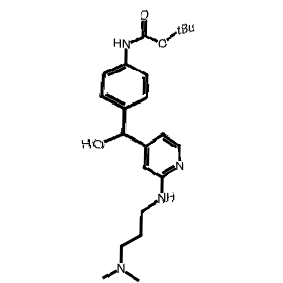 CN(C)CCCNc1cc(C(O)c2ccc(NC(=O)OC(C)(C)C)cc2)ccn1